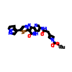 CC(C)(C)OC(=O)N1CC(CC(=O)Nc2cnc3c(c2)[nH]c(=O)c2c3nn3cc(-c4cnn5c4CCC5)sc23)C1